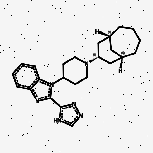 c1ccc2c(c1)nc(-c1nnc[nH]1)n2C1CCN([C@@H]2C[C@@H]3CCCC[C@@H](C3)C2)CC1